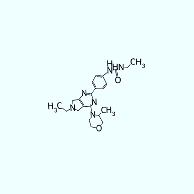 CCNC(=O)Nc1ccc(-c2nc3c(c(N4CCOCC4C)n2)CN(CC)C3)cc1